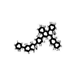 c1ccc(-c2ccc3cnc(-c4ccc(-c5cc6c(-c7ccc8ccccc8c7)nc7ccccc7c6c6ccccc56)cc4)cc3c2)cc1